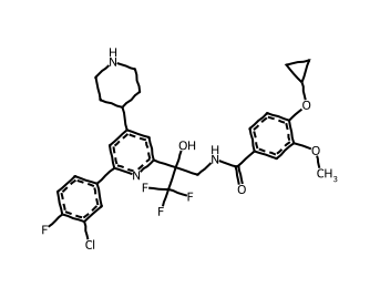 COc1cc(C(=O)NCC(O)(c2cc(C3CCNCC3)cc(-c3ccc(F)c(Cl)c3)n2)C(F)(F)F)ccc1OC1CC1